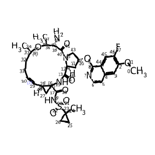 COc1cc2ccnc(O[C@@H]3C[C@H]4C(=O)N[C@]5(C(=O)NS(=O)(=O)C6(C)CC6)C[C@H]5/C=C\CC[C@@H](C)O[C@@H](C)[C@H](N)C(=O)N4C3)c2cc1F